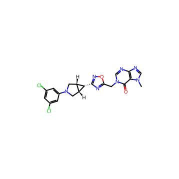 Cn1cnc2ncn(Cc3nc([C@@H]4[C@@H]5CN(c6cc(Cl)cc(Cl)c6)C[C@@H]54)no3)c(=O)c21